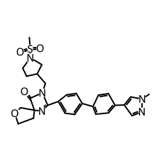 Cn1cc(-c2ccc(-c3ccc(C4=NC5(CCOC5)C(=O)N4CC4CCN(S(C)(=O)=O)C4)cc3)cc2)cn1